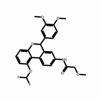 COCC(=O)Nc1ccc2c(c1)C(c1ccc(OC)c(OC)c1)Oc1cccc(OC(F)F)c1-2